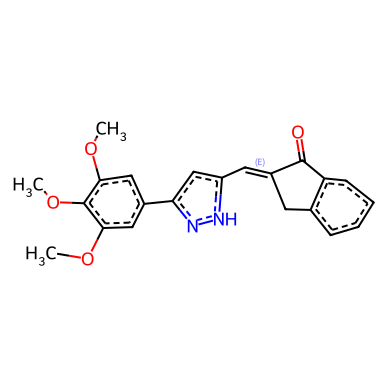 COc1cc(-c2cc(/C=C3\Cc4ccccc4C3=O)[nH]n2)cc(OC)c1OC